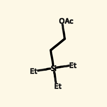 CC[Si](CC)(CC)CCOC(C)=O